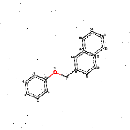 [CH](Oc1ccccc1)c1ccc2ccccc2c1